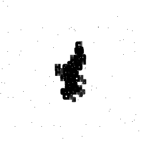 CC(=O)O[C@H]1CC[C@]2(C)[C@H]3CC[C@@H]4C5=C(C(C)C)C(=O)[C@@H](C(=O)C(=O)NNC(=O)c6ccc(Cl)cc6)C5CC[C@@]4(C)[C@]3(C)CC[C@H]2C1(C)C